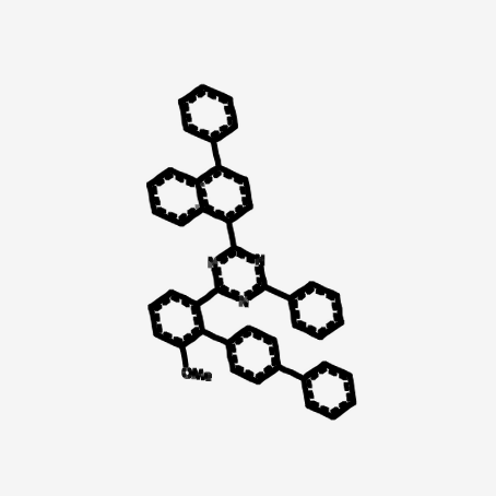 COc1cccc(-c2nc(-c3ccccc3)nc(-c3ccc(-c4ccccc4)c4ccccc34)n2)c1-c1ccc(-c2ccccc2)cc1